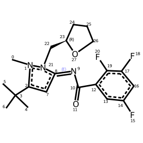 Cn1c(C(C)(C)C)c/c(=N\C(=O)c2cc(F)cc(F)c2F)n1C[C@H]1CCCO1